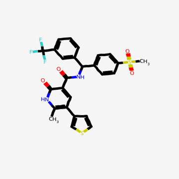 Cc1[nH]c(=O)c(C(=O)NC(c2ccc(S(C)(=O)=O)cc2)c2cccc(C(F)(F)F)c2)cc1-c1ccsc1